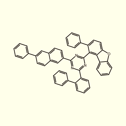 c1ccc(-c2ccc3cc(-c4nc(-c5ccccc5-c5ccccc5)nc(-c5c(-c6ccccc6)ccc6oc7ccccc7c56)n4)ccc3c2)cc1